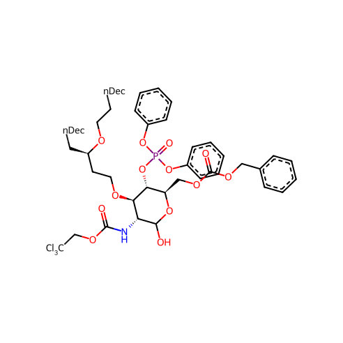 CCCCCCCCCCCCO[C@H](CCCCCCCCCCC)CCO[C@H]1[C@H](OP(=O)(Oc2ccccc2)Oc2ccccc2)[C@@H](COC(=O)OCc2ccccc2)OC(O)[C@@H]1NC(=O)OCC(Cl)(Cl)Cl